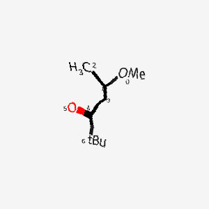 COC(C)CC(=O)C(C)(C)C